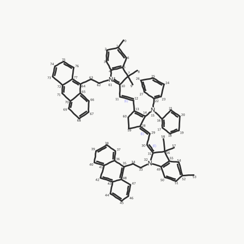 Cc1ccc2c(c1)C(C)(C)C(/C=C/C1=C(N(c3ccccc3)c3ccccc3)C(=C/C=C3/N(CCc4c5ccccc5cc5ccccc45)c4ccc(C)cc4C3(C)C)/CC1)=[N+]2CCc1c2ccccc2cc2ccccc12